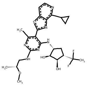 CO[C@H](C)CNc1nc(C)c(-c2nc3c(C4CC4)nccc3s2)c(N[C@@H]2C[C@H](C(C)(F)F)[C@@H](O)[C@H]2O)n1